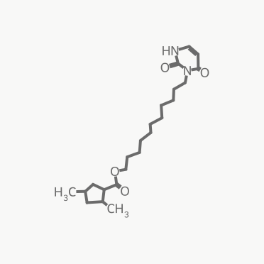 CC1CC(C)C(C(=O)OCCCCCCCCCCCn2c(=O)cc[nH]c2=O)C1